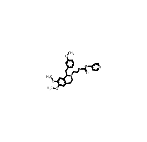 COc1cccc(CC2c3cc(OC)c(OC)cc3CCN2CCNC(=O)Nc2ccncc2)c1